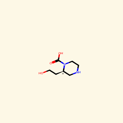 O=C(O)N1CCNC[C@H]1CCO